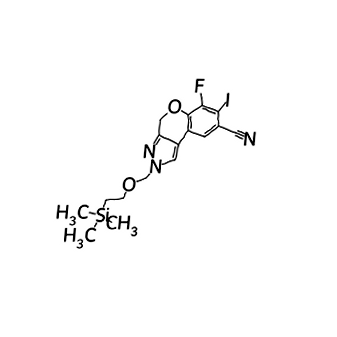 C[Si](C)(C)CCOCn1cc2c(n1)COc1c-2cc(C#N)c(I)c1F